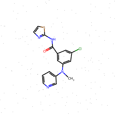 CN(c1cccnc1)c1cc(Cl)cc(C(=O)Nc2nccs2)c1